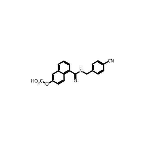 N#Cc1ccc(CNC(=O)c2cccc3cc(OC(=O)O)ccc23)cc1